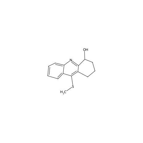 CSc1c2c(nc3ccccc13)C(O)CCC2